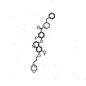 COc1cc2c(Oc3ccc(C(=O)N4CCCC(Cc5ccccc5)C4)cc3F)ccnc2cc1OCCCN1CCOCC1